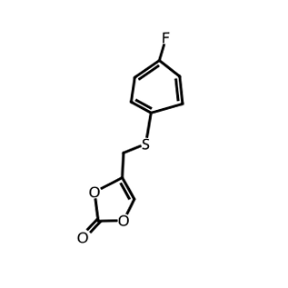 O=c1occ(CSc2ccc(F)cc2)o1